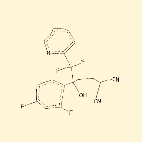 N#CC(C#N)CC(O)(c1ccc(F)cc1F)C(F)(F)c1ccccn1